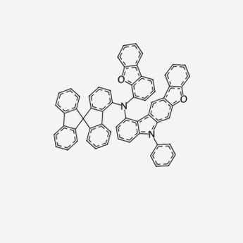 c1ccc(-n2c3cc4oc5ccccc5c4cc3c3c(N(c4cccc5c4-c4ccccc4C54c5ccccc5-c5ccccc54)c4cccc5c4oc4ccccc45)cccc32)cc1